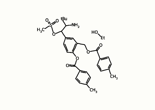 CCO.Cc1ccc(C(=O)OCc2cc(C(OS(C)(=O)=O)C(N)C(C)(C)C)ccc2OC(=O)c2ccc(C)cc2)cc1